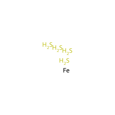 S.S.S.S.[Fe]